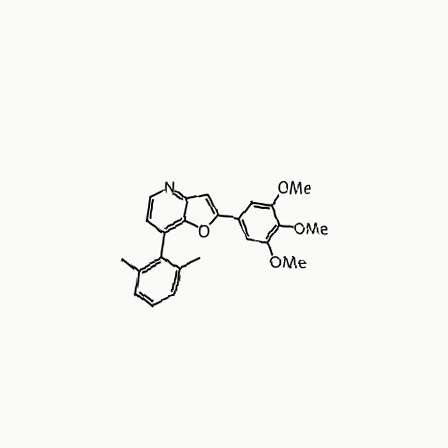 COc1cc(-c2cc3nccc(-c4c(C)cccc4C)c3o2)cc(OC)c1OC